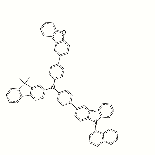 CC1(C)c2ccccc2-c2ccc(N(c3ccc(-c4ccc5oc6ccccc6c5c4)cc3)c3ccc(-c4ccc5c(c4)c4ccccc4n5-c4cccc5ccccc45)cc3)cc21